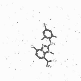 CCCC(CCC)c1ccc(Cl)c2nc(Nc3c(C)cc(Br)cc3C)n(C)c12